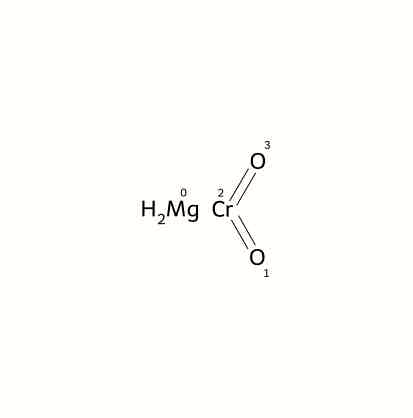 [MgH2].[O]=[Cr]=[O]